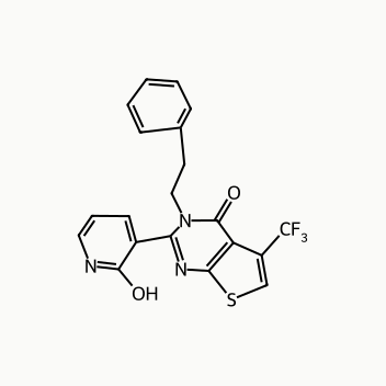 O=c1c2c(C(F)(F)F)csc2nc(-c2cccnc2O)n1CCc1ccccc1